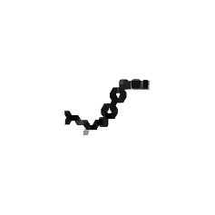 CCCCCCCCOc1ccc(-c2ccc(OCC[C@H](C)CCC=C(C)C)cc2)cc1